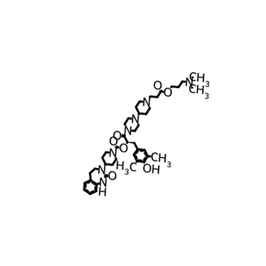 Cc1cc(C[C@@H](OC(=O)N2CCC(N3CCc4ccccc4NC3=O)CC2)C(=O)N2CCN(C3CCN(CCC(=O)OCCCN(C)C)CC3)CC2)cc(C)c1O